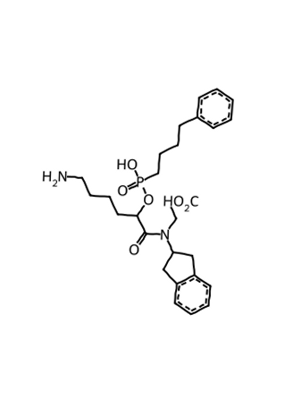 NCCCCC(OP(=O)(O)CCCCc1ccccc1)C(=O)N(CC(=O)O)C1Cc2ccccc2C1